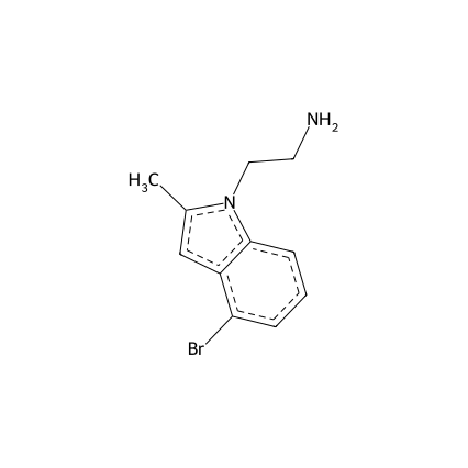 Cc1cc2c(Br)cccc2n1CCN